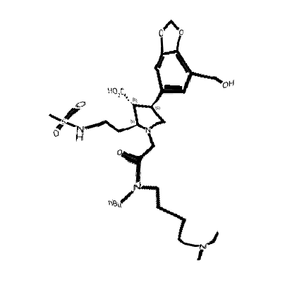 CCCCN(CCCCN(C)C)C(=O)CN1C[C@H](c2cc(CO)c3c(c2)OCO3)[C@@H](C(=O)O)[C@@H]1CCNS(C)(=O)=O